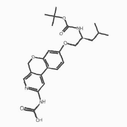 CC(C)C[C@@H](COc1ccc2c(c1)OCc1cnc(NC(=O)O)cc1-2)NC(=O)OC(C)(C)C